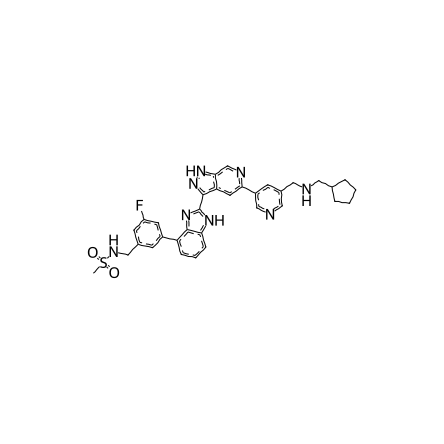 CS(=O)(=O)NCc1cc(F)cc(-c2cccc3[nH]c(-c4n[nH]c5cnc(-c6cncc(CNCC7CCCC7)c6)cc45)nc23)c1